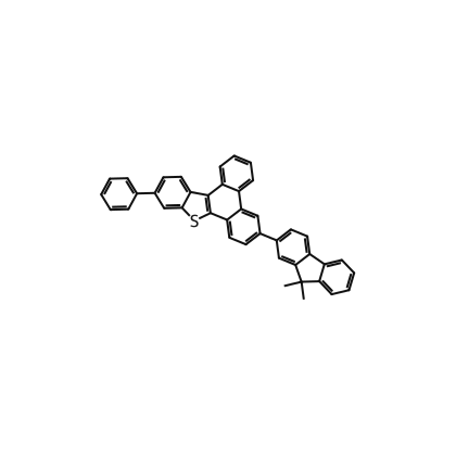 CC1(C)c2ccccc2-c2ccc(-c3ccc4c(c3)c3ccccc3c3c5ccc(-c6ccccc6)cc5sc43)cc21